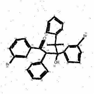 CC(C)(c1ccccc1)C(O)(c1cccc(Br)c1)C(C(=O)c1cccc(Br)c1)c1ccccc1